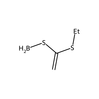 BSC(=C)SCC